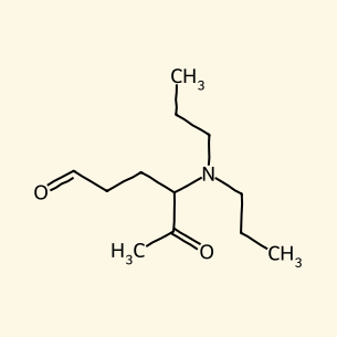 CCCN(CCC)C(CCC=O)C(C)=O